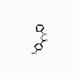 COc1ccc(C(=O)ONc2ccccc2)cc1